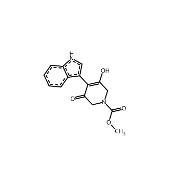 COC(=O)N1CC(=O)C(c2c[nH]c3ccccc23)=C(O)C1